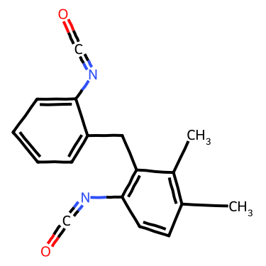 Cc1ccc(N=C=O)c(Cc2ccccc2N=C=O)c1C